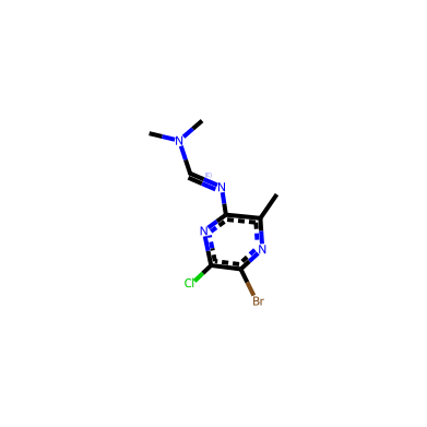 Cc1nc(Br)c(Cl)nc1/N=C/N(C)C